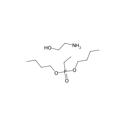 CCCCOP(=O)(CC)OCCCC.NCCO